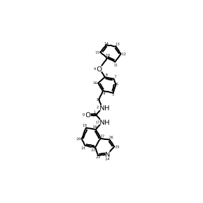 O=C(NCc1cccc(Oc2ccccc2)c1)Nc1cccc2cnccc12